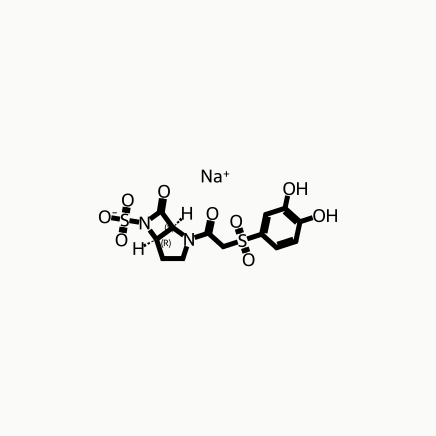 O=C(CS(=O)(=O)c1ccc(O)c(O)c1)N1CC[C@@H]2[C@H]1C(=O)N2S(=O)(=O)[O-].[Na+]